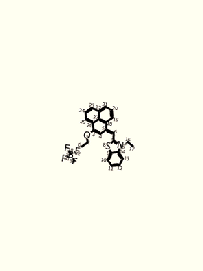 CCOc1cc(=Cc2sc3ccccc3[n+]2CC)c2cccc3cccc1c32.F[B-](F)(F)F